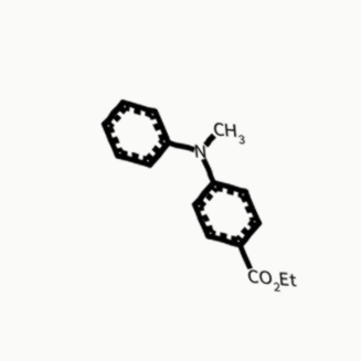 CCOC(=O)c1ccc(N(C)c2ccccc2)cc1